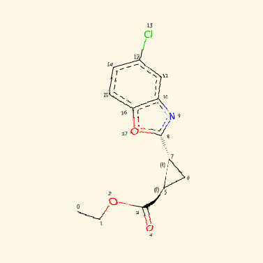 CCOC(=O)[C@@H]1C[C@H]1c1nc2cc(Cl)ccc2o1